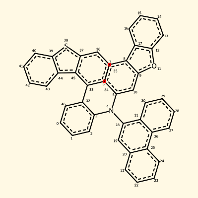 c1ccc(N(c2ccc3c(c2)oc2ccccc23)c2cc3ccccc3c3ccccc23)c(-c2cccc3sc4ccccc4c23)c1